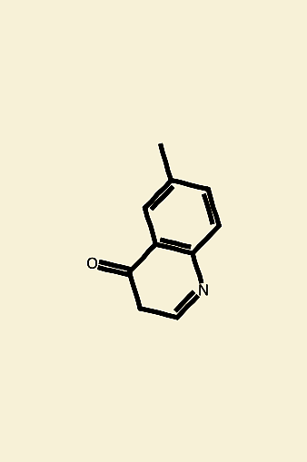 Cc1ccc2c(c1)C(=O)CC=N2